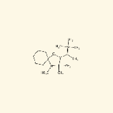 CC(C1OC2(CCCCC2)N(C(=O)O)C1(C)C)[Si](C)(C)C